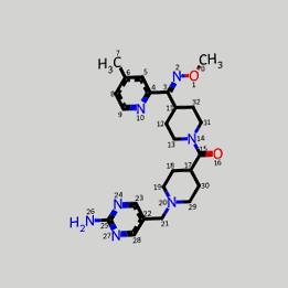 CON=C(c1cc(C)ccn1)C1CCN(C(=O)C2CCN(Cc3cnc(N)nc3)CC2)CC1